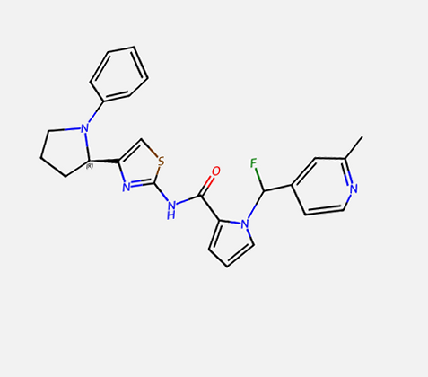 Cc1cc(C(F)n2cccc2C(=O)Nc2nc([C@H]3CCCN3c3ccccc3)cs2)ccn1